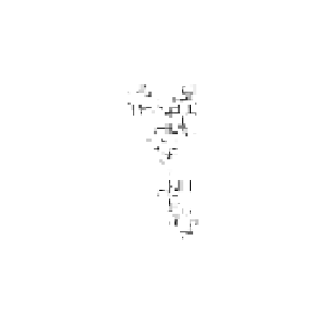 O=C(NCCCC(=O)N1CCC[C@@H]1CNC(=O)c1ccc(Cl)nc1NCCC1CCCCO1)OCc1ccccc1